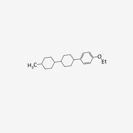 CCOc1ccc(C2CCC(C3CCC(C)CC3)CC2)cc1